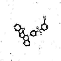 N#Cc1cccc(S(=O)(=O)c2ccc(-n3c4c(c5ccccc53)C=C3C4=Nc4ccccc43)cc2)c1